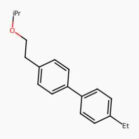 CCc1ccc(-c2ccc(CCOC(C)C)cc2)cc1